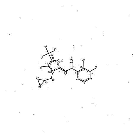 Cc1cccc(C(=O)/N=c2\sc(C(C)(C)C)c(C)n2CC2CC2)c1C